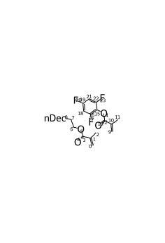 C=C(C)C(=O)OCCCCCCCCCCCC.C=C(C)C(=O)Oc1c(F)cc(F)cc1F